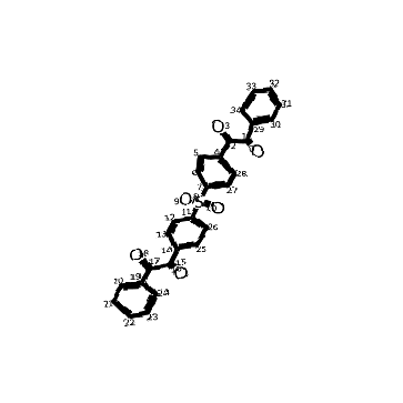 O=C(C(=O)c1ccc(S(=O)(=O)c2ccc(C(=O)C(=O)c3ccccc3)cc2)cc1)c1ccccc1